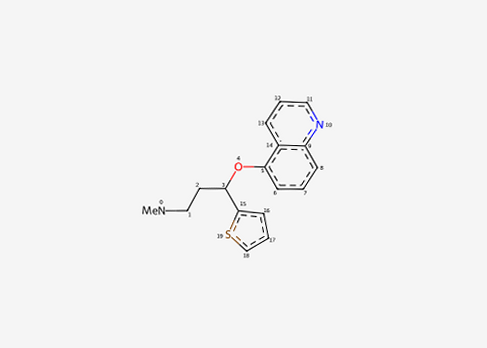 CNCCC(Oc1cccc2ncccc12)c1cccs1